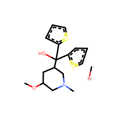 CBr.COC1CC(C(O)(c2cccs2)c2cccs2)CN(C)C1